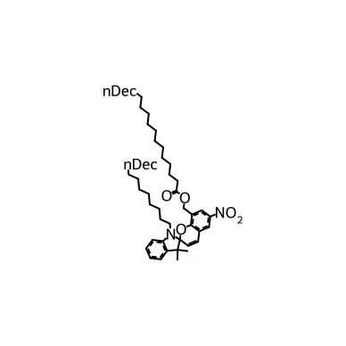 CCCCCCCCCCCCCCCCCCCCCC(=O)OCc1cc([N+](=O)[O-])cc2c1OC1(C=C2)N(CCCCCCCCCCCCCCCCCC)c2ccccc2C1(C)C